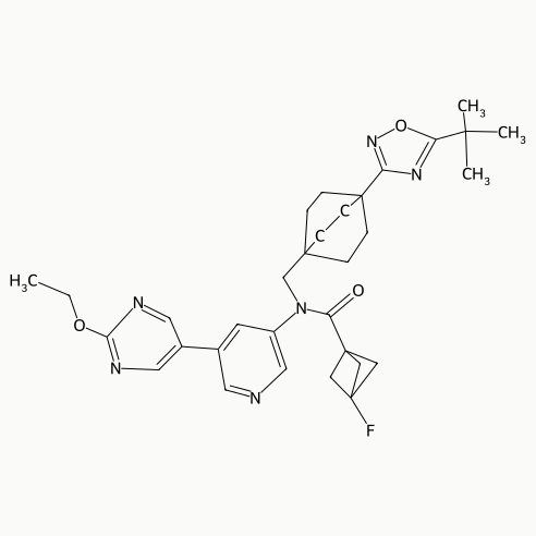 CCOc1ncc(-c2cncc(N(CC34CCC(c5noc(C(C)(C)C)n5)(CC3)CC4)C(=O)C34CC(F)(C3)C4)c2)cn1